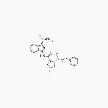 C[C@H]1C[C@@H](C(=O)OCc2ccccc2)N(C(=O)Nc2cn(C(N)=O)c3ccccc23)C1